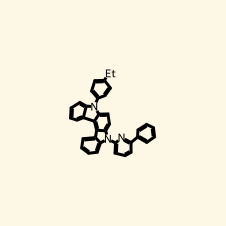 CCc1ccc(-n2c3ccccc3c3c4c5ccccc5n(-c5cccc(-c6ccccc6)n5)c4ccc32)cc1